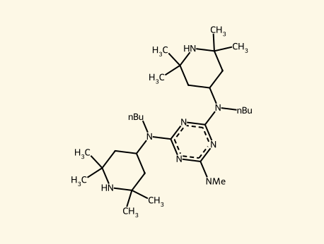 CCCCN(c1nc(NC)nc(N(CCCC)C2CC(C)(C)NC(C)(C)C2)n1)C1CC(C)(C)NC(C)(C)C1